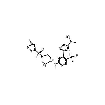 CC(O)c1cnc(-c2nc(N[C@H]3CCN(S(=O)(=O)c4cnn(C)c4)C[C@H]3F)ncc2C(F)(F)F)s1